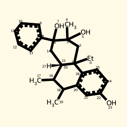 CCC12CC(C)(O)C(O)(c3ccccc3)C[C@H]1C(C)C(C)c1cc(O)ccc12